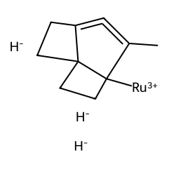 CC1=C=C2CCC23CC[C]13[Ru+3].[H-].[H-].[H-]